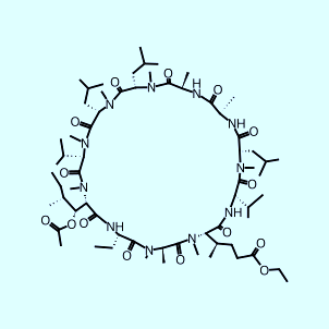 CCOC(=O)CC[C@@H](C)[C@H]1C(=O)N[C@@H](C(C)C)C(=O)N(C)[C@@H](CC(C)C)C(=O)N[C@@H](C)C(=O)N[C@H](C)C(=O)N(C)[C@@H](CC(C)C)C(=O)N(C)[C@@H](CC(C)C)C(=O)N(C)[C@@H](C(C)C)C(=O)N(C)[C@@H]([C@H](OC(C)=O)[C@H](C)CC)C(=O)N[C@@H](CC)C(=O)N(C)[C@H](C)C(=O)N1C